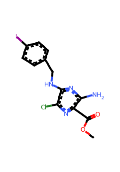 COC(=O)c1nc(Cl)c(NCc2ccc(I)cc2)nc1N